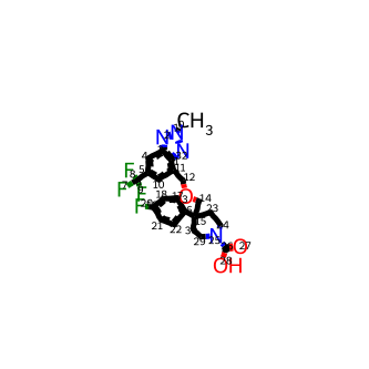 Cn1nc2cc(C(F)(F)F)cc(COCC3(c4ccc(F)cc4)CCN(C(=O)O)CC3)c2n1